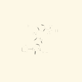 Cc1ccc(S(C)(=O)=O)cc1Nc1cc2c(cn1)n(C)c(=O)n2C1CCCC1